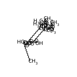 CC=CC1(C=CC)C(=O)OC(=O)C1(C=CC)C=CC.CC=CC1(C=CC)C(=O)OC(=O)C1(C=CC)C=CC.CCCCCCCCCCCCC=CC(CC(=O)O)C(=O)OC(=O)CC(C=CCCCCCCCCCCCC)C(=O)OC(=O)C(C=CCCCCCCCCCCCC)CC(=O)O